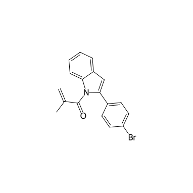 C=C(C)C(=O)n1c(-c2ccc(Br)cc2)cc2ccccc21